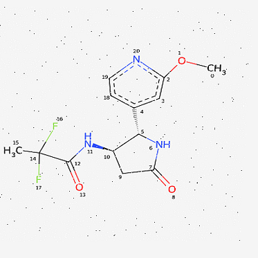 COc1cc([C@@H]2NC(=O)C[C@H]2NC(=O)C(C)(F)F)ccn1